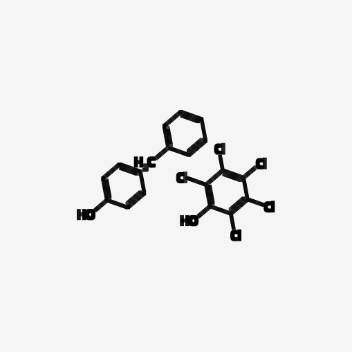 Cc1ccccc1.Oc1c(Cl)c(Cl)c(Cl)c(Cl)c1Cl.Oc1ccccc1